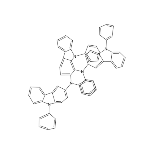 c1ccc(N(c2ccc3c(c2)c2ccccc2n3-c2ccccc2)c2ccc3c4ccccc4n(-c4ccccc4)c3c2N(c2ccccc2)c2ccc3c(c2)c2ccccc2n3-c2ccccc2)cc1